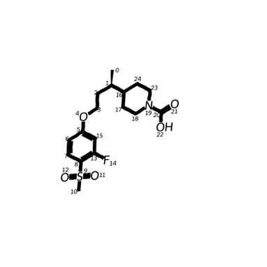 C[C@H](CCOc1ccc(S(C)(=O)=O)c(F)c1)C1CCN(C(=O)O)CC1